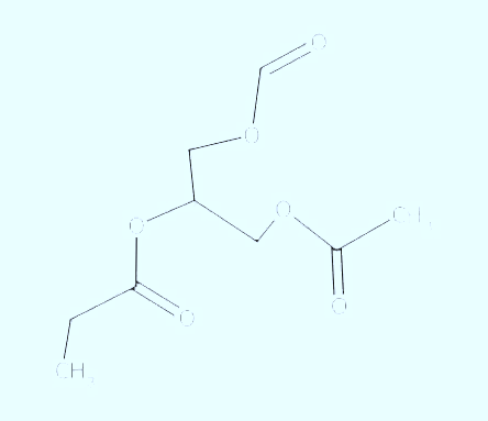 CCC(=O)O[C](COC=O)COC(C)=O